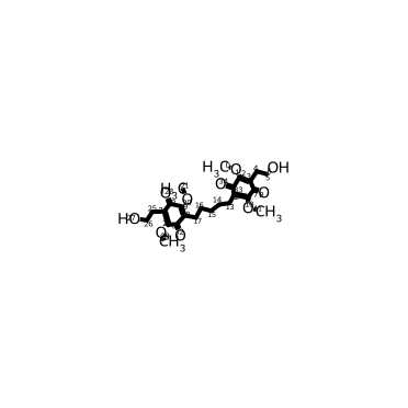 COC1=C(CCO)C(=O)C(OC)=C(CCCCCC2=C(OC)C(=O)C(CCO)=C(OC)C2=O)C1=O